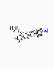 CCCCC[C@]1(C)CC[C@@H](C2CCC(c3ccc(C#N)cc3)CC2)CC1